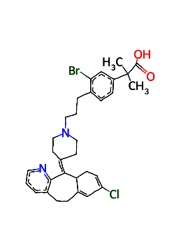 CC(C)(C(=O)O)c1ccc(CCCN2CCC(=C3c4ncccc4CCC4=CC(Cl)=CCC43)CC2)c(Br)c1